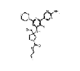 Nc1ncc(-c2nc(N3CCOCC3)nc(N[C@@]3(CO)CCN(C(=O)OCCF)C3)c2F)cn1